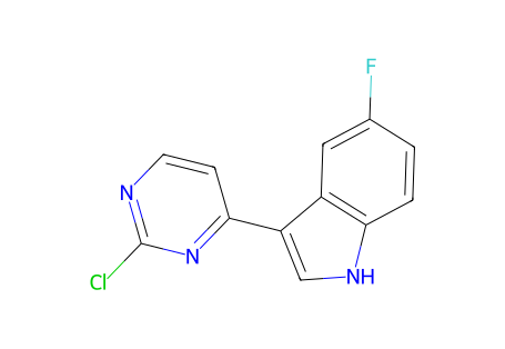 Fc1ccc2[nH]cc(-c3ccnc(Cl)n3)c2c1